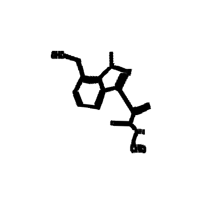 C=C(C(=O)NC=O)c1nn(C)c2c(CC=O)cccc12